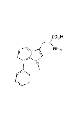 Cn1cc(CC(N)C(=O)O)c2cccc(-c3ccccc3)c21